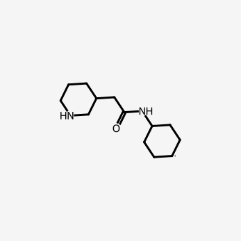 O=C(CC1CCCNC1)NC1CC[CH]CC1